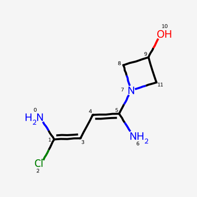 N/C(Cl)=C\C=C(/N)N1CC(O)C1